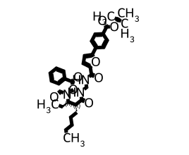 CCCCC[C@@H](C(=O)NCNC(=O)c1ccc(-c2ccc(C(=O)OC(C)(C)C)cc2)o1)[C@@H](CC)N(C=O)OC(=O)c1ccccc1